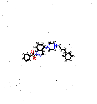 O=S(=O)(c1ccccc1)n1ncc2c(N3CCN(CCCc4ccccc4)CC3)cccc21